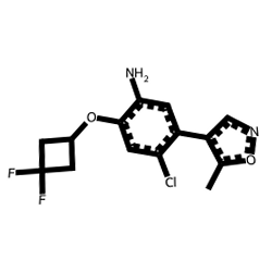 Cc1oncc1-c1cc(N)c(OC2CC(F)(F)C2)cc1Cl